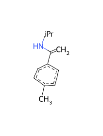 C=C(NC(C)C)c1ccc(C)cc1